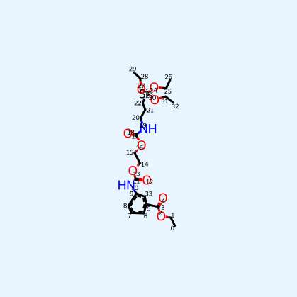 CCOC(=O)c1cccc(NC(=O)OCCOC(=O)NCCC[Si](OCC)(OCC)OCC)c1